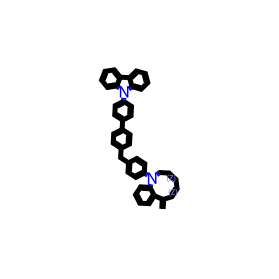 C=C1/C=C\C=C/CN(c2ccc(Cc3ccc(-c4ccc(-n5c6ccccc6c6ccccc65)cc4)cc3)cc2)c2ccccc21